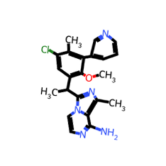 COc1c(C(C)c2nc(C)c3c(N)nccn23)cc(Cl)c(C)c1-c1cccnc1